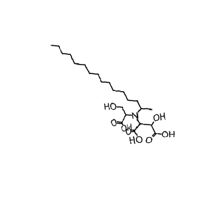 CCCCCCCCCCCCCCC(C)N(C(CO)C(=O)O)C(C(=O)O)C(O)C(=O)O